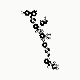 CC1(C)CCC(CN2CCN(c3ccc(C(=O)NS(=O)(=O)c4ccc(NC[C@H]5CC[C@@H](N6CCN(CCSc7cccc8c7CN(C7CCC(=O)NC7=O)C8=O)CC6)CC5)c(N(O)O)c4)c(Oc4cnc5[nH]ccc5c4)c3)CC2)=C(c2ccc(Cl)cc2)C1